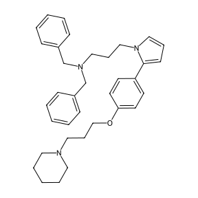 c1ccc(CN(CCCn2cccc2-c2ccc(OCCCN3CCCCC3)cc2)Cc2ccccc2)cc1